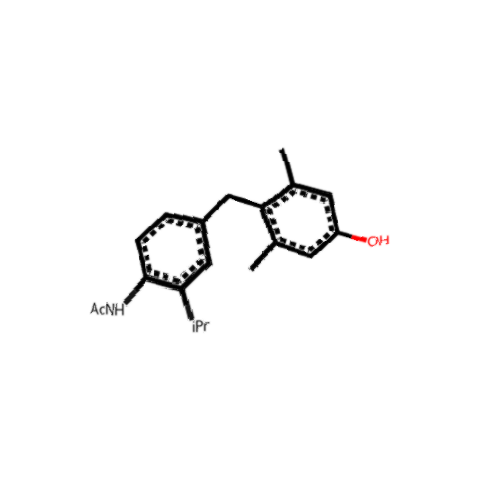 CC(=O)Nc1ccc(Cc2c(C)cc(O)cc2C)cc1C(C)C